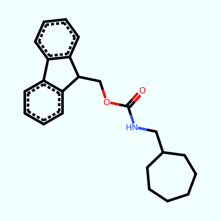 O=C(NCC1CCCCCC1)OCC1c2ccccc2-c2ccccc21